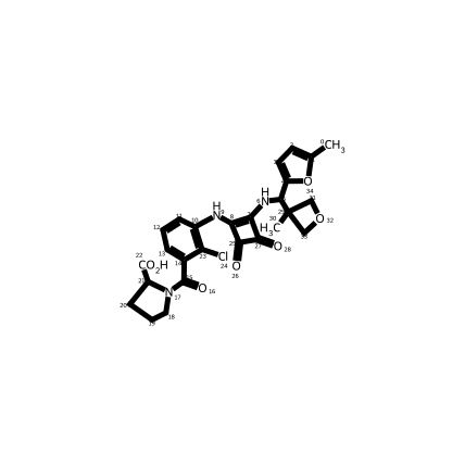 Cc1ccc(C(Nc2c(Nc3cccc(C(=O)N4CCCC4C(=O)O)c3Cl)c(=O)c2=O)C2(C)COC2)o1